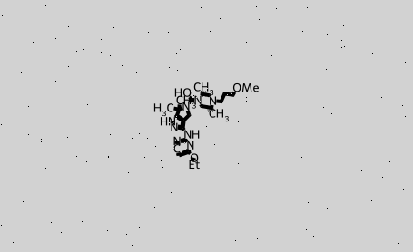 CCOc1ccnc(Nc2n[nH]c3c2CN(C(O)N2C[C@@H](C)N(CCCOC)C[C@@H]2C)C3(C)C)n1